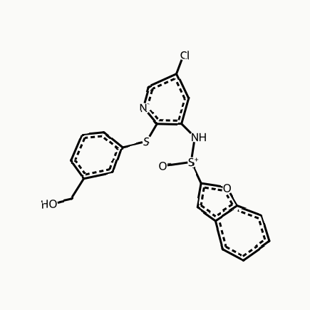 [O-][S+](Nc1cc(Cl)cnc1Sc1cccc(CO)c1)c1cc2ccccc2o1